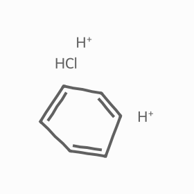 Cl.[H+].[H+].c1ccccc1